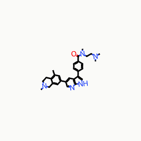 Cc1cc(-c2cnc3[nH]cc(-c4ccc(C(=O)N(C)CCN(C)C)cc4)c3c2)cc2c1CCN(C)C2